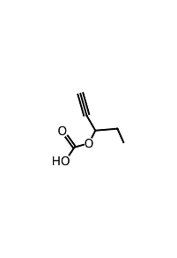 C#CC(CC)OC(=O)O